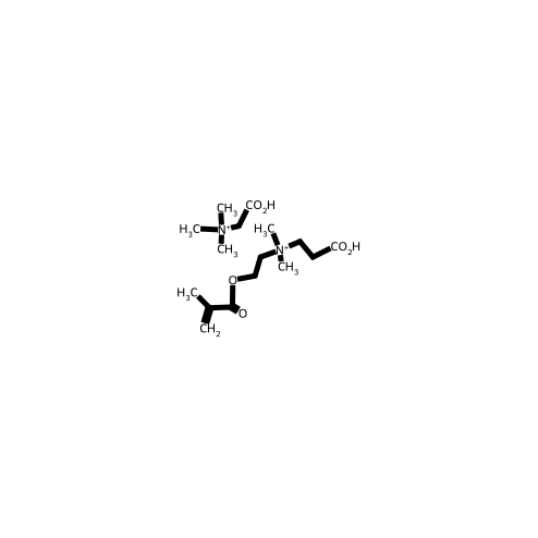 C=C(C)C(=O)OCC[N+](C)(C)CCC(=O)O.C[N+](C)(C)CC(=O)O